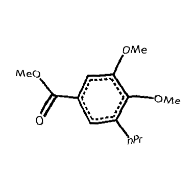 CCCc1cc(C(=O)OC)cc(OC)c1OC